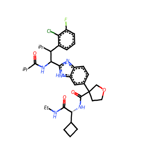 CCNC(=O)[C@H](NC(=O)C1(c2ccc3nc(C(NC(=O)C(C)C)C(c4cccc(F)c4Cl)C(C)C)[nH]c3c2)CCOC1)C1CCC1